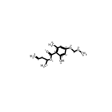 C=CCC(C)OC(=O)c1c(C)cc(OCOC)cc1O